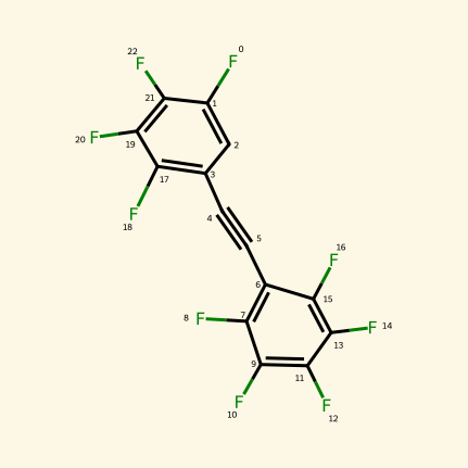 Fc1cc(C#Cc2c(F)c(F)c(F)c(F)c2F)c(F)c(F)c1F